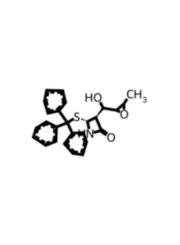 CC1OC1C(O)[C@H]1C(=O)N[C@@H]1SC(c1ccccc1)(c1ccccc1)c1ccccc1